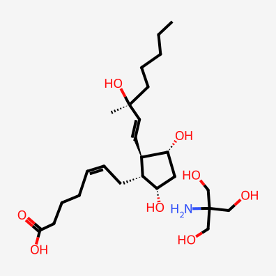 CCCCC[C@](C)(O)/C=C/[C@@H]1[C@@H](C/C=C\CCCC(=O)O)[C@@H](O)C[C@H]1O.NC(CO)(CO)CO